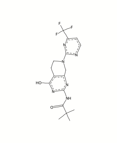 CC(C)(C)C(=O)Nc1nc(O)c2c(n1)CN(c1nccc(C(F)(F)F)n1)CC2